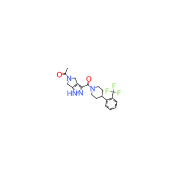 CC(=O)N1Cc2[nH]nc(C(=O)N3CCC(c4ccccc4C(F)(F)F)CC3)c2C1